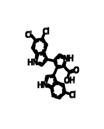 O=C(O)c1[nH]cc(-c2c[nH]c3cc(Cl)c(Cl)cc23)c1-c1c[nH]c2ccc(Cl)cc12